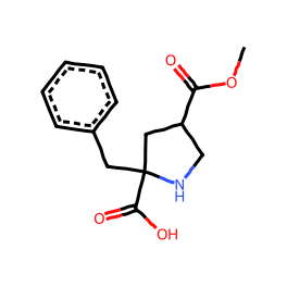 COC(=O)C1CNC(Cc2ccccc2)(C(=O)O)C1